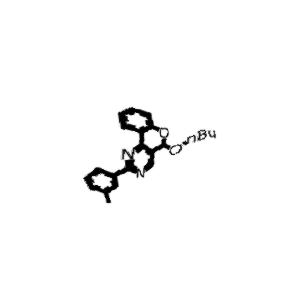 CCCCOC1Oc2ccccc2-c2nc(-c3cccc(C)c3)ncc21